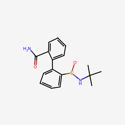 CC(C)(C)N[S+]([O-])c1ccccc1-c1cc[c]cc1C(N)=O